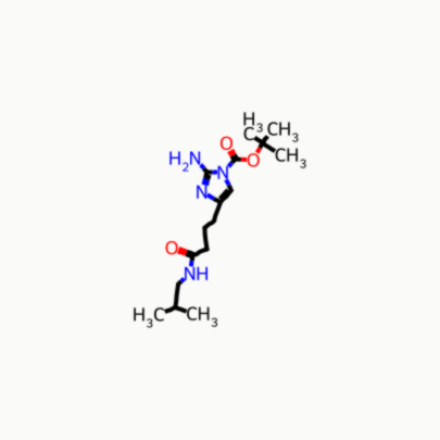 CC(C)CNC(=O)CCCc1cn(C(=O)OC(C)(C)C)c(N)n1